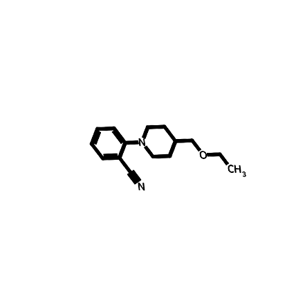 CCOCC1CCN(c2ccccc2C#N)CC1